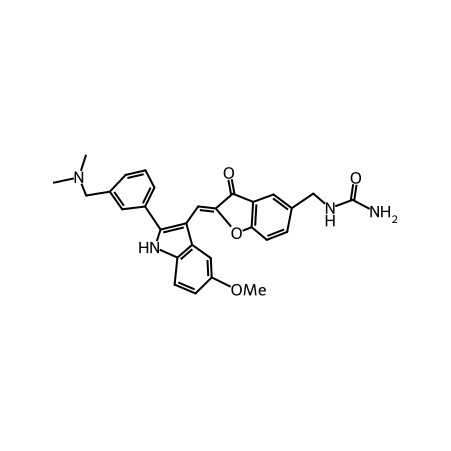 COc1ccc2[nH]c(-c3cccc(CN(C)C)c3)c(C=C3Oc4ccc(CNC(N)=O)cc4C3=O)c2c1